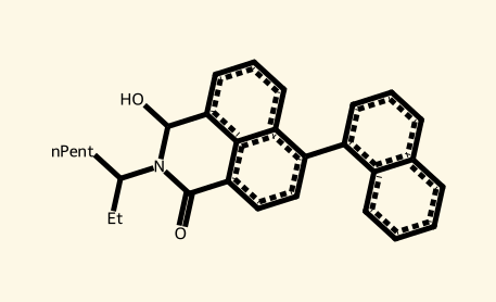 CCCCCC(CC)N1C(=O)c2ccc(-c3cccc4ccccc34)c3cccc(c23)C1O